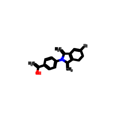 C=C(O)c1ccc(-n2c(=C)c3c(c2=C)CCC(CC)=C3)cc1